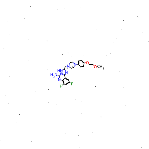 COCCOc1ccc(N2CCN(CC3N=C4c5cc(F)cc(F)c5N=C(N)N4N3)CC2)cc1